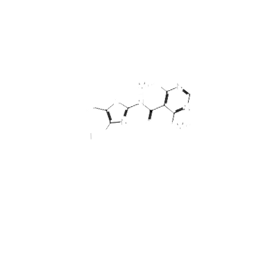 COc1ncnc(OC)c1C(=O)Nc1nc(C(F)(F)F)c(Cl)s1